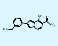 NCc1cccc(-c2cc3c(N)c(C(N)=O)cnn3c2)c1